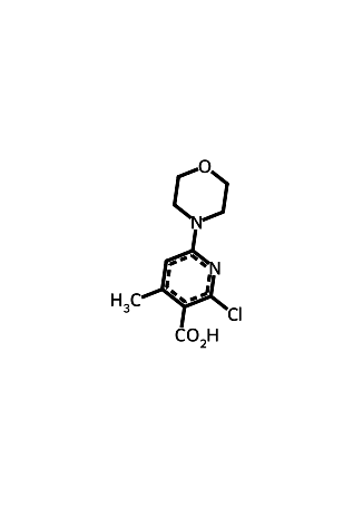 Cc1cc(N2CCOCC2)nc(Cl)c1C(=O)O